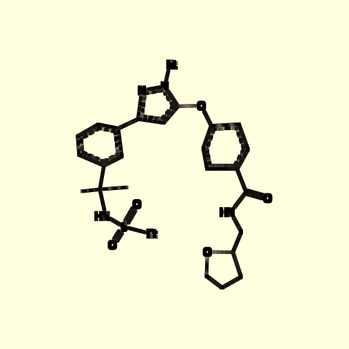 CCn1nc(-c2cccc(C(C)(C)NS(=O)(=O)CC)c2)cc1Oc1ccc(C(=O)NCC2CCCO2)cc1